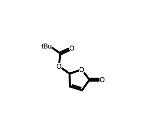 CC(C)(C)C(=O)OC1C=CC(=O)O1